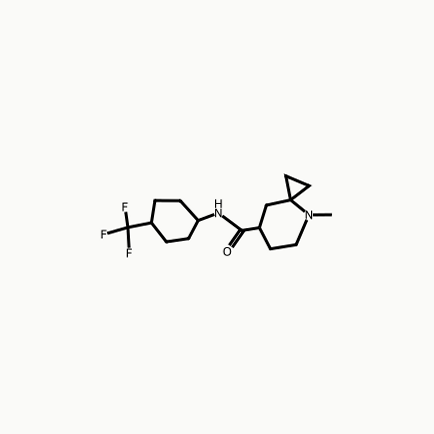 CN1CCC(C(=O)NC2CCC(C(F)(F)F)CC2)CC12CC2